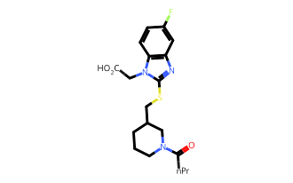 CCCC(=O)N1CCCC(CSc2nc3cc(F)ccc3n2CC(=O)O)C1